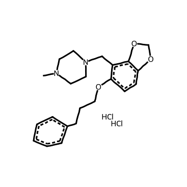 CN1CCN(Cc2c(OCCCc3ccccc3)ccc3c2OCO3)CC1.Cl.Cl